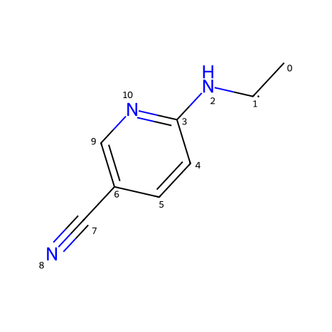 C[CH]Nc1ccc(C#N)cn1